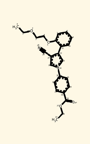 CCOCCOc1ccccc1-c1cn(-c2ccc(C(=O)OCC)cc2)cc1C#N